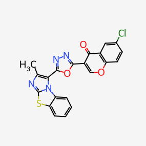 Cc1nc2sc3ccccc3n2c1-c1nnc(-c2coc3ccc(Cl)cc3c2=O)o1